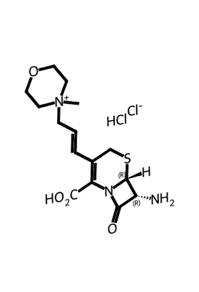 C[N+]1(CC=CC2=C(C(=O)O)N3C(=O)[C@@H](N)[C@H]3SC2)CCOCC1.Cl.[Cl-]